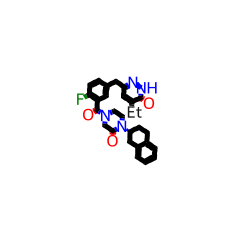 CCc1cc(Cc2ccc(F)c(C(=O)N3CCN([C@H]4CCc5ccccc5C4)C(=O)C3)c2)n[nH]c1=O